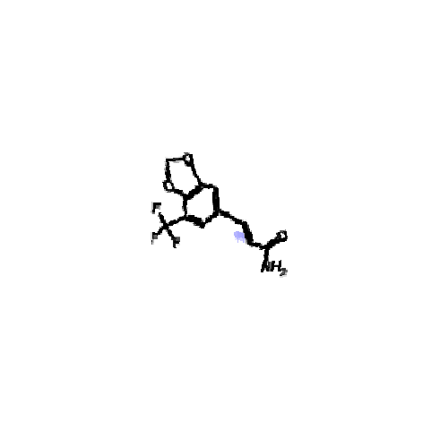 NC(=O)/C=C/c1cc2c(c(C(F)(F)F)c1)OCO2